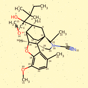 CCC(C)(C)[C@@](C)(O)[C@H]1C[C@@]23CC[C@@]1(OC)[C@@H]1Oc4c(OC)ccc(C)c4[C@@]12CCN(C#N)C3C